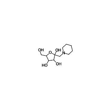 OCC1OC(O)(CN2CCCCC2)C(O)C1O